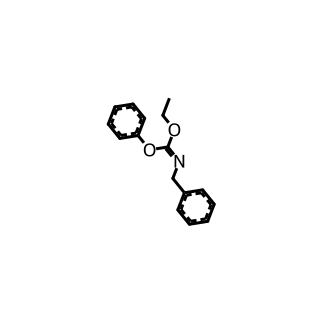 CCOC(=NCc1ccccc1)Oc1ccccc1